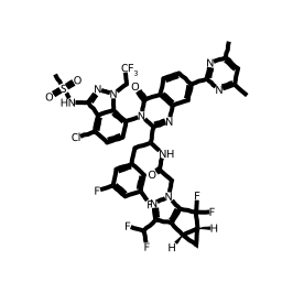 Cc1cc(C)nc(-c2ccc3c(=O)n(-c4ccc(Cl)c5c(NS(C)(=O)=O)nn(CC(F)(F)F)c45)c(C(Cc4cc(F)cc(F)c4)NC(=O)Cn4nc(C(F)F)c5c4C(F)(F)[C@@H]4C[C@H]54)nc3c2)n1